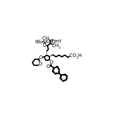 CCCCCC(C)C(CC[C@H]1C(OC2CCCCO2)C[C@H](OC(=O)c2ccc(-c3ccccc3)cc2)[C@@H]1CCCCCCC(=O)O)O[Si](C)(C)C(C)(C)C